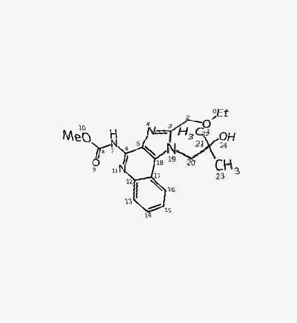 CCOCc1nc2c(NC(=O)OC)nc3ccccc3c2n1CC(C)(C)O